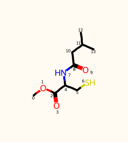 COC(=O)C(CS)NC(=O)CC(C)C